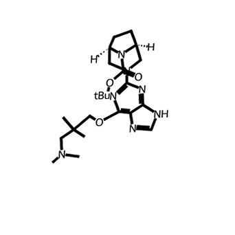 CN(C)CC(C)(C)COc1nc(N2C[C@H]3CC[C@@H](C2)N3C(=O)OC(C)(C)C)nc2[nH]cnc12